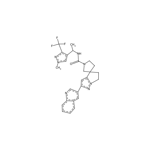 CC(NC(=O)N1CCC2(CCn3nc(-c4cnc5ccccc5c4)cc32)C1)c1cn(C)nc1C(F)(F)F